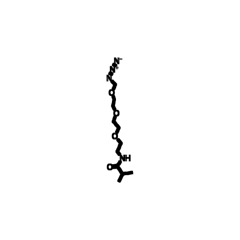 CC(C)C(=O)NCCOCCOCCOCN=[N+]=[N-]